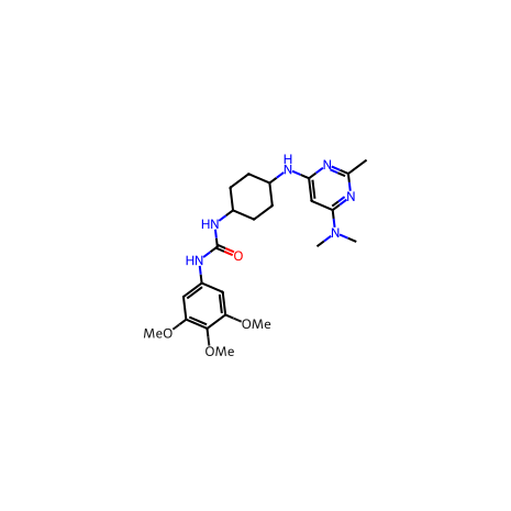 COc1cc(NC(=O)NC2CCC(Nc3cc(N(C)C)nc(C)n3)CC2)cc(OC)c1OC